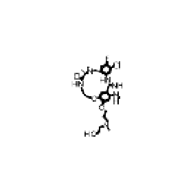 CNc1cc(OCCCN(C)CCO)c2cc1C(=N)Nc1cc(Cl)c(F)cc1CN(C)[C@H](C)C(=O)NCCCO2